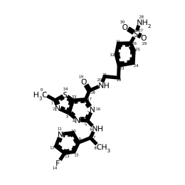 Cc1nc2nc(NC(C)c3cncc(F)c3)nc(C(=O)NCCc3ccc(S(N)(=O)=O)cc3)c2s1